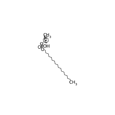 CCCCCCCCCCCCCCCCCCOP(=O)(O)OC1C[N+]2(C)CCC1CC2